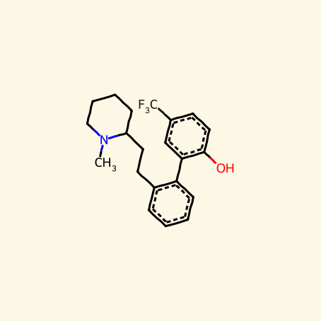 CN1CCCCC1CCc1ccccc1-c1cc(C(F)(F)F)ccc1O